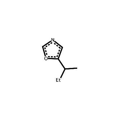 CCC(C)c1cnco1